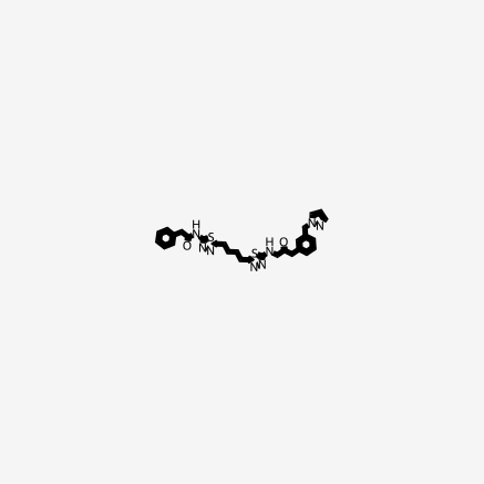 O=C(CNc1nnc(CCCCc2nnc(NC(=O)Cc3ccccc3)s2)s1)Cc1cccc(Cn2cccn2)c1